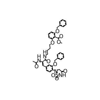 COC(=O)c1c(OCCCCNC(=O)/C(=C\c2ccc(N3CC(=O)NS3(=O)=O)c(OCc3ccccc3)c2)NC(C)=O)cccc1OCc1ccccc1